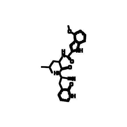 COc1cccc2[nH]c(C(=O)NC(CC(C)C)C(=O)NC(C#N)Cc3ccc[nH]c3=O)cc12